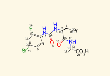 CC(C)C[C@H](NC(=O)Nc1ccc(Br)cc1F)C(=O)N[C@@H](C)C(=O)O